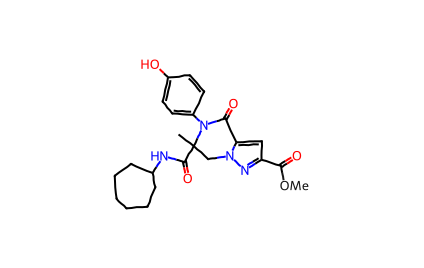 COC(=O)c1cc2n(n1)CC(C)(C(=O)NC1CCCCCC1)N(c1ccc(O)cc1)C2=O